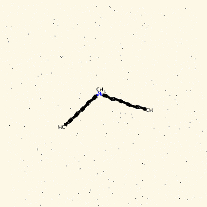 C#CC#CC#CC#CC#CC#CN(C)C#CC#CC#CC#CC#CC#C